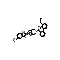 O=C(c1ccccc1-c1cccc(CF)c1)N1CC2CC(C1)CN(c1nc3ccc(Cl)cc3s1)C2